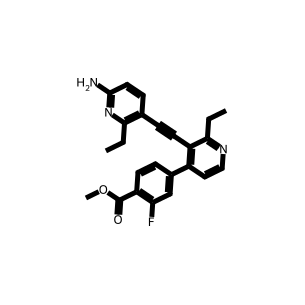 CCc1nc(N)ccc1C#Cc1c(-c2ccc(C(=O)OC)c(F)c2)ccnc1CC